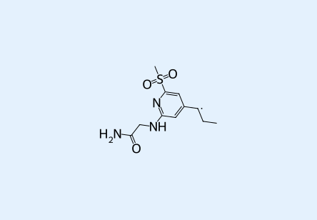 CC[CH]c1cc(NCC(N)=O)nc(S(C)(=O)=O)c1